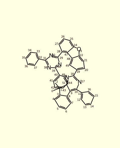 CC1(C)c2ccccc2-c2c(-c3ccccc3)nc(-c3ccc4oc5cccc(-c6nc(-c7ccccc7)nc(-c7ccccc7)n6)c5c4c3)nc21